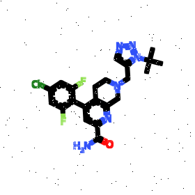 CC(C)(C)n1nncc1CN1CCc2c(-c3c(F)cc(Cl)cc3F)cc(C(N)=O)nc2C1